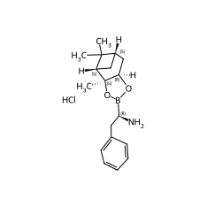 CC1(C)[C@@H]2C[C@H]3OB([C@@H](N)Cc4ccccc4)O[C@@]3(C)[C@H]1C2.Cl